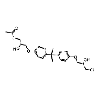 CC(=O)OCC(O)COc1ccc(C(C)(C)c2ccc(OCC(O)CCl)cc2)cc1